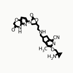 Cc1c(OCC2(N)CC2)nc(C#N)c2c1CC(CNCCC1CN(c3ccc4c(n3)NC(=O)CO4)C(=O)O1)C2